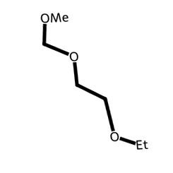 [CH2]COCCOCOC